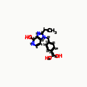 CCc1nc2c(O)nccc2n1Cc1ccc(B(O)O)cc1